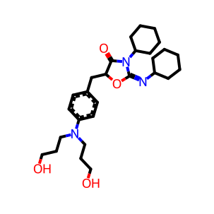 O=C1C(Cc2ccc(N(CCCO)CCCO)cc2)O/C(=N/C2CCCCC2)N1C1CCCCC1